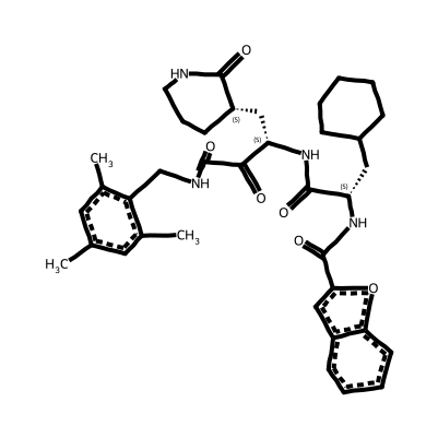 Cc1cc(C)c(CNC(=O)C(=O)[C@H](C[C@@H]2CCCNC2=O)NC(=O)[C@H](CC2CCCCC2)NC(=O)c2cc3ccccc3o2)c(C)c1